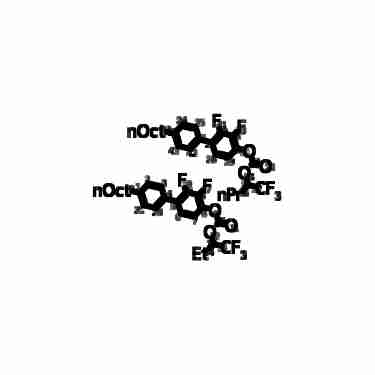 CCCCCCCCc1ccc(-c2ccc(OC(=O)OC(CC)C(F)(F)F)c(F)c2F)cc1.CCCCCCCCc1ccc(-c2ccc(OC(=O)OC(CCC)C(F)(F)F)c(F)c2F)cc1